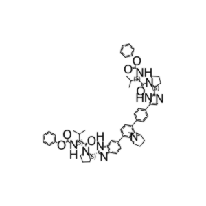 CC(C)[C@H](NC(=O)Oc1ccccc1)C(=O)N1CCC[C@H]1c1ncc(-c2ccc(-c3ccc(-c4ccc5nc([C@@H]6CCCN6C(=O)[C@@H](NC(=O)Oc6ccccc6)C(C)C)[nH]c5c4)c4c3C3CCC4N3C)cc2)[nH]1